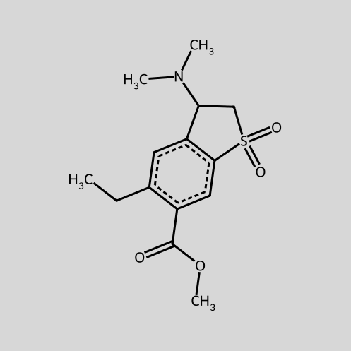 CCc1cc2c(cc1C(=O)OC)S(=O)(=O)CC2N(C)C